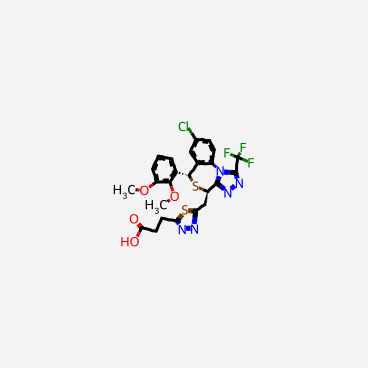 COc1cccc([C@H]2S[C@H](Cc3nnc(CCC(=O)O)s3)c3nnc(C(F)(F)F)n3-c3ccc(Cl)cc32)c1OC